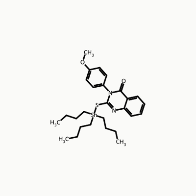 CCC[CH2][Sn]([CH2]CCC)([CH2]CCC)[S]c1nc2ccccc2c(=O)n1-c1ccc(OC)cc1